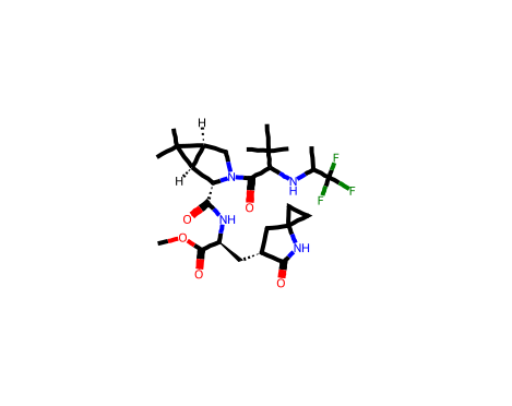 COC(=O)[C@H](C[C@@H]1CC2(CC2)NC1=O)NC(=O)[C@@H]1[C@@H]2[C@H](CN1C(=O)C(NC(C)C(F)(F)F)C(C)(C)C)C2(C)C